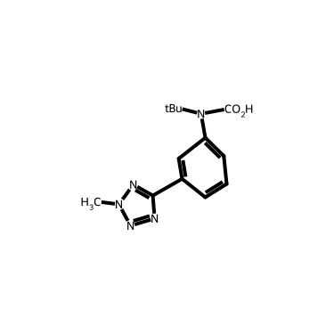 Cn1nnc(-c2cccc(N(C(=O)O)C(C)(C)C)c2)n1